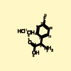 Cl.Cl.NC(C(=O)O)c1ccc(F)cc1